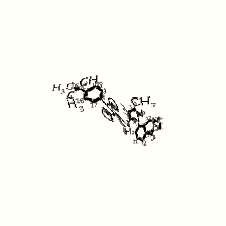 Cc1cc(NS(=O)(=O)c2ccc(C(C)(C)C)cc2)n(-c2cccc3cnncc23)n1